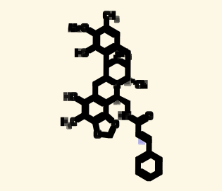 COc1c(C)cc2c(c1O)C1C3Cc4c(O)c(C)c5c(c4[C@H](CNC(=O)/C=C/c4ccccc4)N3[C@@H](C#N)C(C2)N1C)OCO5